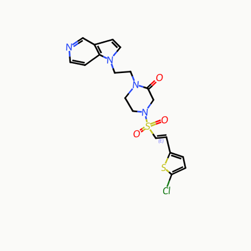 O=C1CN(S(=O)(=O)/C=C/c2ccc(Cl)s2)CCN1CCn1ccc2cnccc21